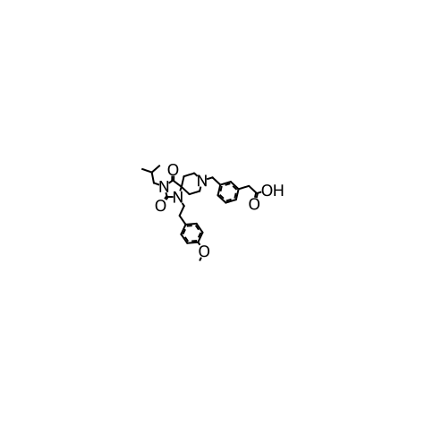 COc1ccc(CCN2C(=O)N(CC(C)C)C(=O)C23CCN(Cc2cccc(CC(=O)O)c2)CC3)cc1